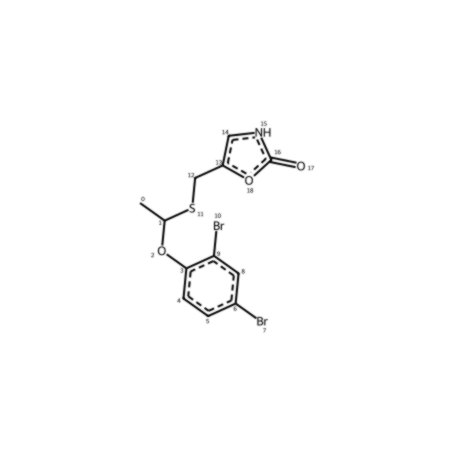 CC(Oc1ccc(Br)cc1Br)SCc1c[nH]c(=O)o1